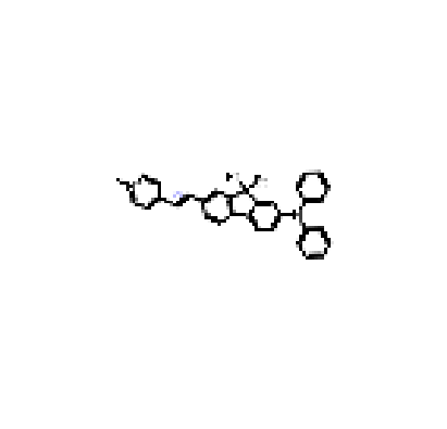 CCC1(CC)c2cc(/C=C/c3cc[n+](C)cc3)ccc2-c2ccc(N(c3ccccc3)c3ccccc3)cc21